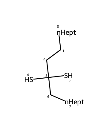 CCCCCCCCCC(S)(S)CCCCCCCC